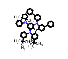 CC(C)(C)c1cccc(N2c3cc(C(C)(C)C)ccc3B3c4ccc(-c5ccccc5)cc4N(c4cccc(-c5ccccc5)c4)c4cc(N5c6ccccc6C6(C)CCCC56C)cc2c43)c1